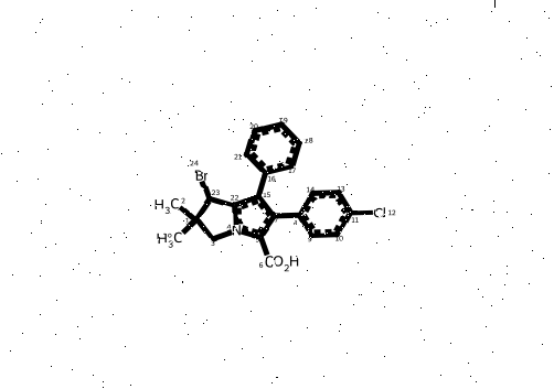 CC1(C)Cn2c(C(=O)O)c(-c3ccc(Cl)cc3)c(-c3ccccc3)c2C1Br